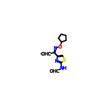 O=[C]C(=NOC1CCCC1)c1csc(NC=O)n1